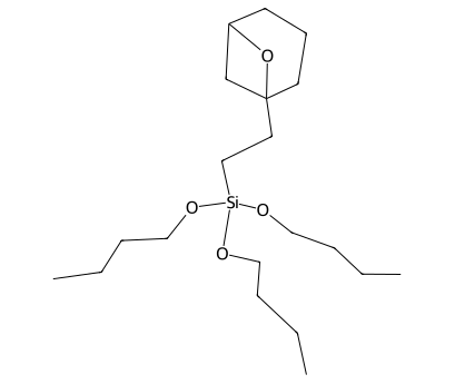 CCCCO[Si](CCC12CCCC(C1)O2)(OCCCC)OCCCC